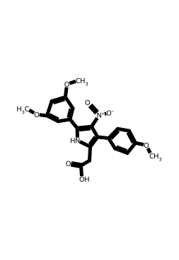 COc1ccc(-c2c(CC(=O)O)[nH]c(-c3cc(OC)cc(OC)c3)c2[N+](=O)[O-])cc1